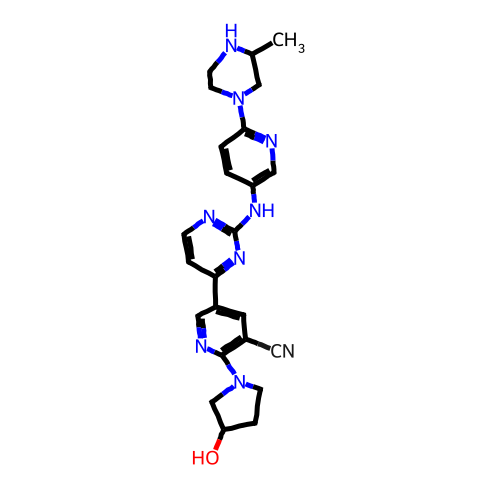 CC1CN(c2ccc(Nc3nccc(-c4cnc(N5CCC(O)C5)c(C#N)c4)n3)cn2)CCN1